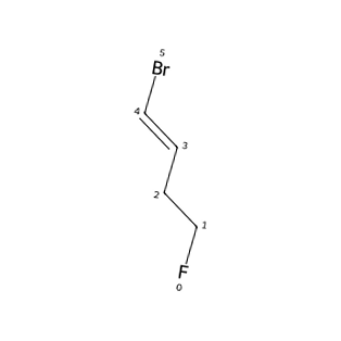 FCCC=CBr